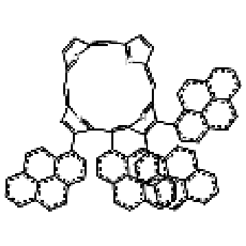 C1=CC2=NC1=CC1=NC(=C(c3ccc4ccc5cccc6ccc3c4c56)C3=NC(=CC4=NC(=C2)C=C4)C=C3c2ccc3ccc4cccc5ccc2c3c45)C(c2ccc3ccc4cccc5ccc2c3c45)=C1c1ccc2ccc3cccc4ccc1c2c34